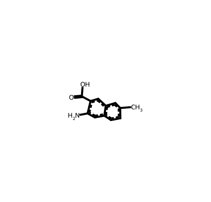 Cc1ccc2cc(N)c(C(=O)O)cc2c1